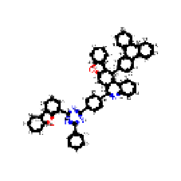 c1ccc(-c2nc(-c3ccc(-c4nc5ccccc5c5c(-c6ccc7c8ccccc8c8ccccc8c7c6)c6c(cc45)oc4ccccc46)cc3)nc(-c3cccc4c3oc3ccccc34)n2)cc1